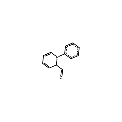 O=CC1C=CC=CN1c1ccccc1